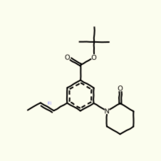 C/C=C/c1cc(C(=O)OC(C)(C)C)cc(N2CCCCC2=O)c1